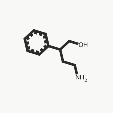 NCCC(CO)c1ccccc1